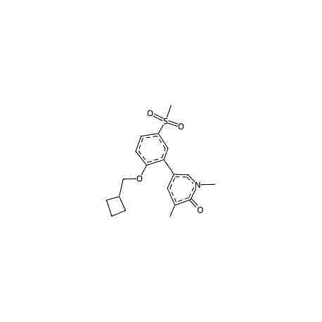 Cc1cc(-c2cc(S(C)(=O)=O)ccc2OCC2CCC2)cn(C)c1=O